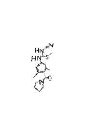 CSC(NC#N)Nc1cc(C)c(C(=O)N2CCCC2)c(C)c1